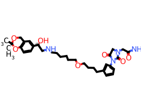 CC1(C)OCc2cc([C@H](O)CNCCCCCCOCCCCc3cccc(N4C(=O)CN(CC(N)=O)C4=O)c3)ccc2O1